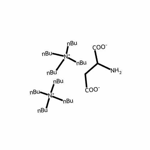 CCCC[N+](CCCC)(CCCC)CCCC.CCCC[N+](CCCC)(CCCC)CCCC.NC(CC(=O)[O-])C(=O)[O-]